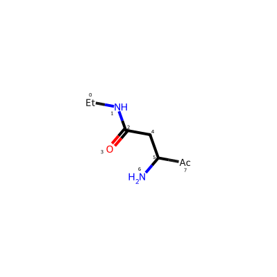 CCNC(=O)CC(N)C(C)=O